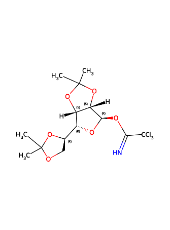 CC1(C)O[C@@H]2[C@H](O1)[C@@H](OC(=N)C(Cl)(Cl)Cl)O[C@@H]2[C@H]1COC(C)(C)O1